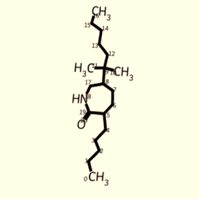 CCCCCC1CCC(C(C)(C)CCCCC)CNC1=O